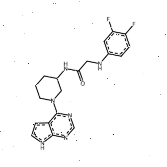 O=C(CNc1ccc(F)c(F)c1)NC1CCCN(c2ncnc3[nH]ccc23)C1